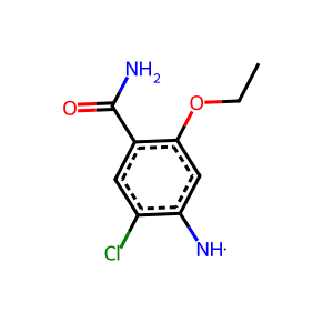 CCOc1cc([NH])c(Cl)cc1C(N)=O